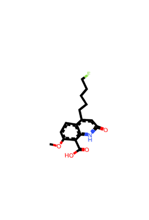 COc1ccc2c(CCCCCF)cc(=O)[nH]c2c1C(=O)O